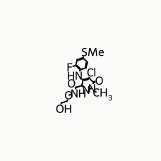 CSc1ccc(Nc2c(C(=O)NOCCO)nn(C)c(=O)c2Cl)c(F)c1